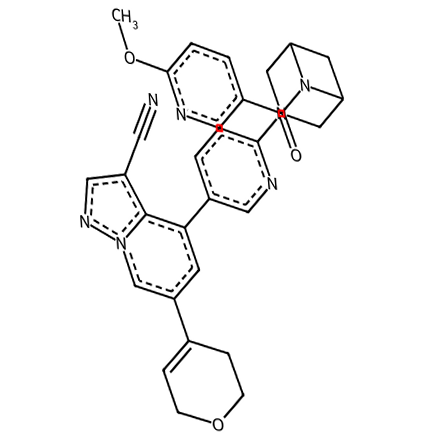 COc1ccc(C(=O)N2C3CC2CN(c2ccc(-c4cc(C5=CCOCC5)cn5ncc(C#N)c45)cn2)C3)cn1